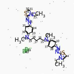 CC[n+]1ccsc1/N=N/c1ccc(N(C)CCCCCN(C)c2ccc(/N=N/c3scc[n+]3CC)cc2)cc1.[Br-].[Br-]